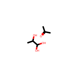 CC(C)=O.CC(O)C(O)O